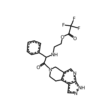 O=C(C(NCCOC(=O)C(F)(F)F)c1ccccc1)N1CCc2c(cnc3[nH]ncc23)C1